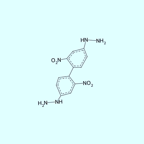 NNc1ccc(-c2ccc(NN)cc2[N+](=O)[O-])c([N+](=O)[O-])c1